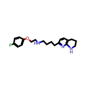 Fc1ccc(OCCNCCCCc2ccc3c(n2)NCCC3)cc1